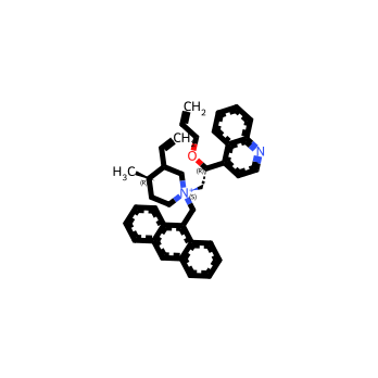 C=CCO[C@@H](C[N@@+]1(Cc2c3ccccc3cc3ccccc23)CC[C@@H](C)C(C=C)C1)c1ccnc2ccccc12